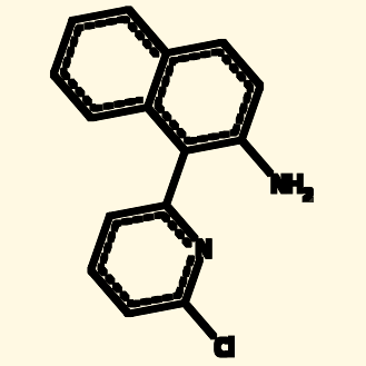 Nc1ccc2ccccc2c1-c1cccc(Cl)n1